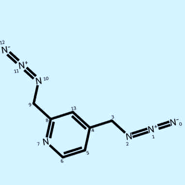 [N-]=[N+]=NCc1ccnc(CN=[N+]=[N-])c1